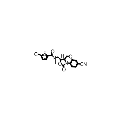 N#Cc1ccc2c(c1)OC[C@H]1[C@H](CNC(=O)c3ccc(Cl)s3)OC(=O)N21